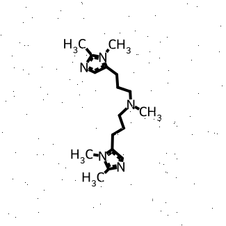 Cc1ncc(CCCN(C)CCCc2cnc(C)n2C)n1C